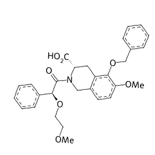 COCCO[C@H](C(=O)N1Cc2ccc(OC)c(OCc3ccccc3)c2C[C@H]1C(=O)O)c1ccccc1